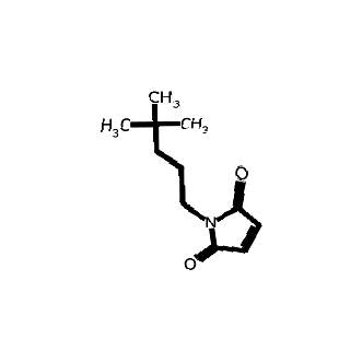 CC(C)(C)CCCN1C(=O)C=CC1=O